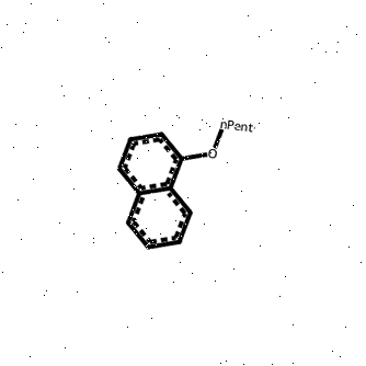 CCCC[CH]Oc1cccc2ccccc12